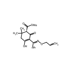 C=CCON=C(CCC)C1=C(O)CC(C)(C)[C@@H](C(=O)OC)C1=O